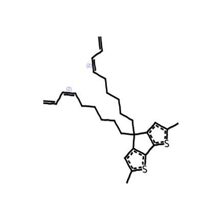 C=C/C=C\CCCCCC1(CCCCC/C=C\C=C)c2cc(C)sc2-c2sc(C)cc21